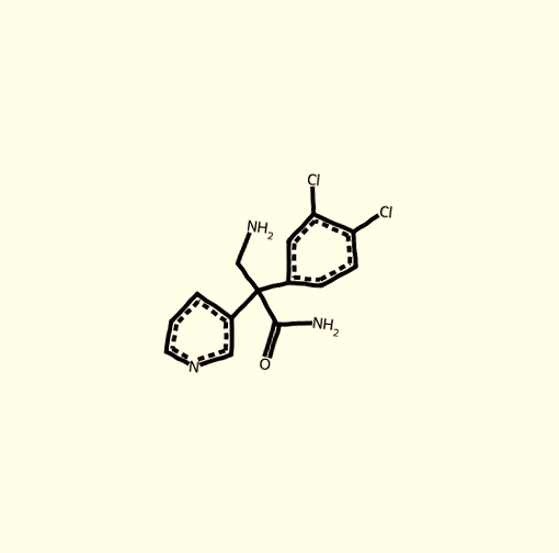 NCC(C(N)=O)(c1cccnc1)c1ccc(Cl)c(Cl)c1